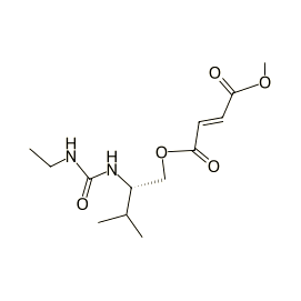 CCNC(=O)N[C@H](COC(=O)/C=C/C(=O)OC)C(C)C